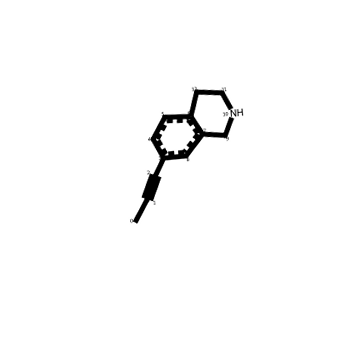 CC#Cc1ccc2c(c1)CNCC2